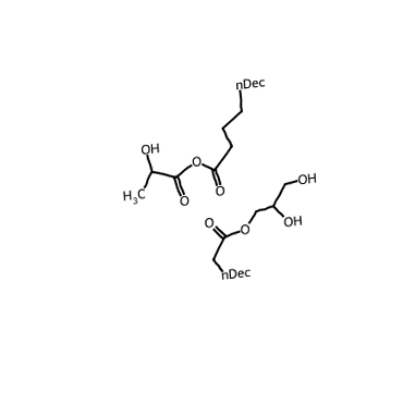 CCCCCCCCCCCC(=O)OCC(O)CO.CCCCCCCCCCCCCC(=O)OC(=O)C(C)O